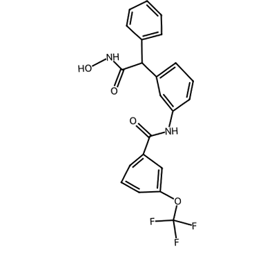 O=C(Nc1cccc(C(C(=O)NO)c2ccccc2)c1)c1cccc(OC(F)(F)F)c1